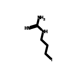 N=C(N)NCCCI